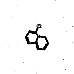 CCC1=CC=CC2=CC=CCN21